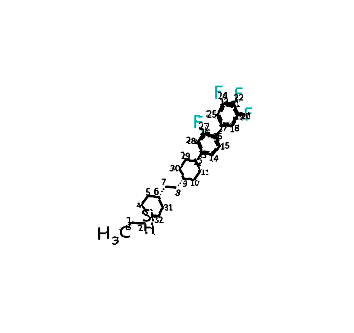 CCC[Si@H]1CC[C@H](CC[C@H]2CC[C@H](c3ccc(-c4cc(F)c(F)c(F)c4)c(F)c3)CC2)CC1